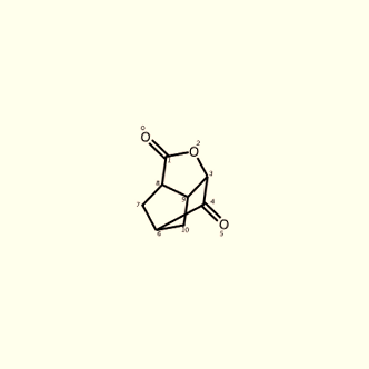 O=C1OC2C(=O)C3CC1C2C3